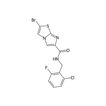 O=C(NCc1c(F)cccc1Cl)c1cn2cc(Br)sc2n1